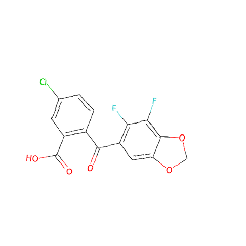 O=C(O)c1cc(Cl)ccc1C(=O)c1cc2c(c(F)c1F)OCO2